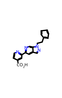 O=C(O)c1ccnc(-c2cc3cnn(CCc4ccccc4)c3cn2)c1